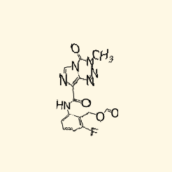 Cn1nnc2c(C(=O)Nc3cccc(F)c3COC=O)ncn2c1=O